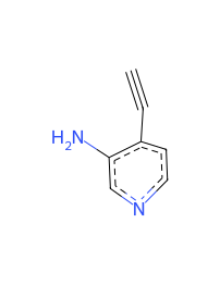 C#Cc1ccncc1N